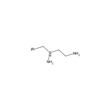 CC(C)C[SiH](N)CCN